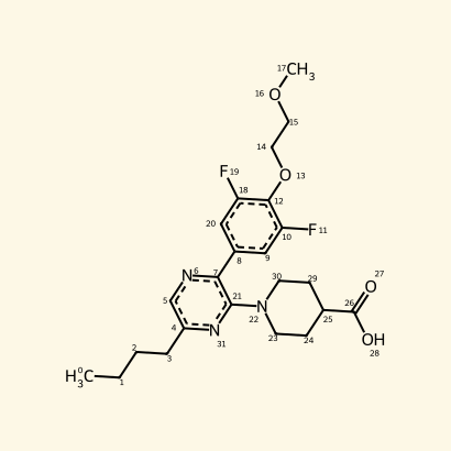 CCCCc1cnc(-c2cc(F)c(OCCOC)c(F)c2)c(N2CCC(C(=O)O)CC2)n1